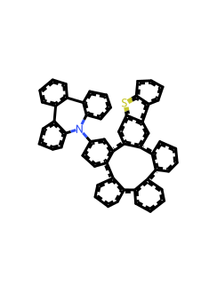 c1ccc2c(c1)-c1ccccc1N(c1ccc3c4ccccc4c4ccccc4c4ccccc4c4cc5c(cc4c3c1)sc1ccccc15)c1ccccc1-2